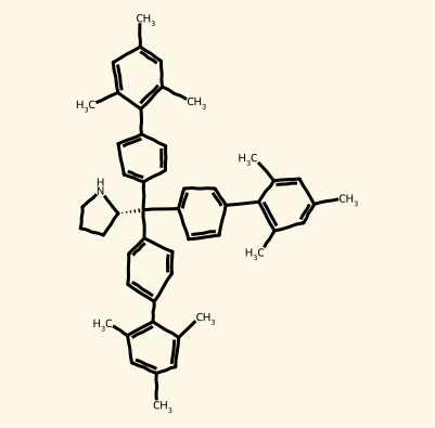 Cc1cc(C)c(-c2ccc(C(c3ccc(-c4c(C)cc(C)cc4C)cc3)(c3ccc(-c4c(C)cc(C)cc4C)cc3)[C@@H]3CCCN3)cc2)c(C)c1